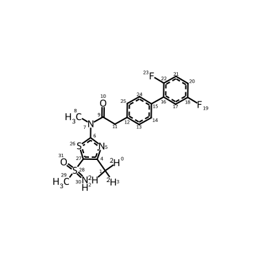 [2H]C([2H])([2H])c1nc(N(C)C(=O)Cc2ccc(-c3cc(F)ccc3F)cc2)sc1S(C)(=N)=O